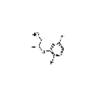 C[C@@H](CO)Oc1cc(Br)ccc1F